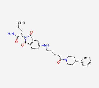 NC(=O)C(CCC=O)N1C(=O)c2ccc(NCCCCC(=O)N3CCC(c4ccccc4)CC3)cc2C1=O